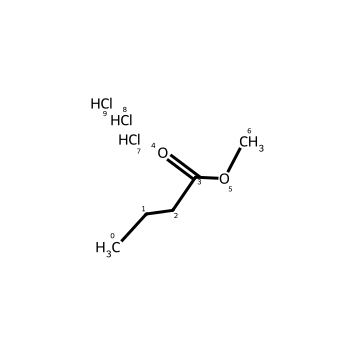 CCCC(=O)OC.Cl.Cl.Cl